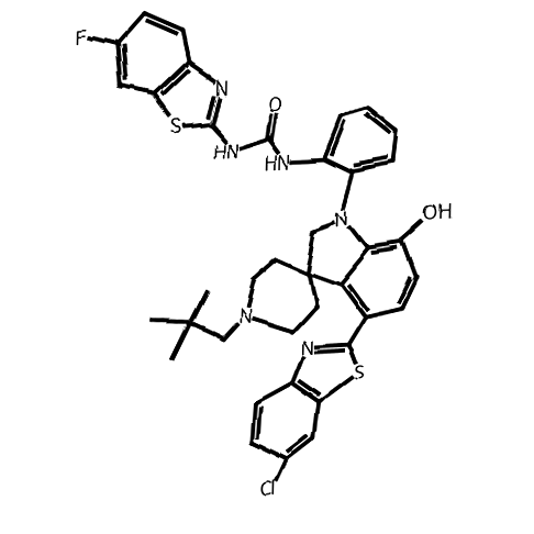 CC(C)(C)CN1CCC2(CC1)CN(c1ccccc1NC(=O)Nc1nc3ccc(F)cc3s1)c1c(O)ccc(-c3nc4ccc(Cl)cc4s3)c12